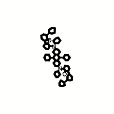 c1ccc(-c2c3ccc(N(c4ccccc4)c4cccc5c4oc4c(-c6ccccc6)cccc45)cc3c(-c3ccccc3)c3ccc(N(c4ccccc4)c4cccc5c4oc4c(-c6ccccc6)cccc45)cc23)cc1